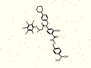 CN(CC(=O)C(Cc1ccc(C2CCCCC2)cc1)c1ccc(C(=O)NOCc2ccc(B(O)O)cc2)c(O)c1)Sc1c(F)c(F)c(F)c(F)c1F